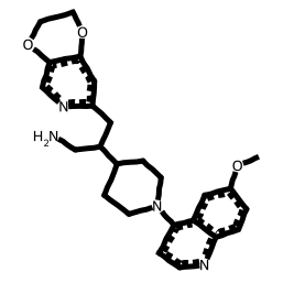 COc1ccc2nccc(N3CCC(C(CN)Cc4cc5c(cn4)OCCO5)CC3)c2c1